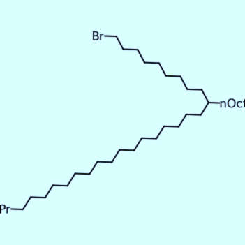 CCCCCCCCC(CCCCCCCCCBr)CCCCCCCCCCCCCCCCCC(C)C